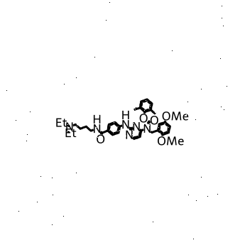 CCN(CC)CCCCNC(=O)c1ccc(Nc2nccc(N(Cc3cc(OC)ccc3OC)C(=O)Oc3c(C)cccc3C)n2)cc1